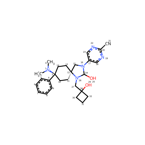 CN(C)[C@]1(c2ccccc2)CC[C@]2(CC1)CN(c1cnc(C#N)nc1)C(O)N2CC1(O)CCC1